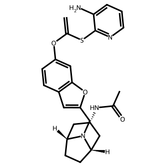 C=C(Oc1ccc2cc(CN3[C@@H]4CC[C@H]3C[C@@H](NC(C)=O)C4)oc2c1)Sc1ncccc1N